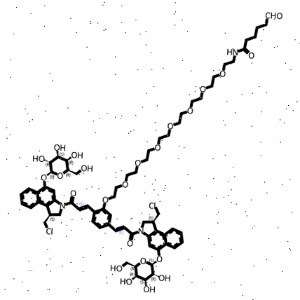 O=CCCCCC(=O)NCCOCCOCCOCCOCCOCCOCCOCCOc1cc(/C=C/C(=O)N2C[C@@H](CCl)c3c2cc(O[C@@H]2O[C@H](CO)[C@H](O)[C@H](O)[C@H]2O)c2ccccc32)ccc1/C=C/C(=O)N1C[C@@H](CCl)c2c1cc(O[C@@H]1O[C@H](CO)[C@H](O)[C@H](O)[C@H]1O)c1ccccc21